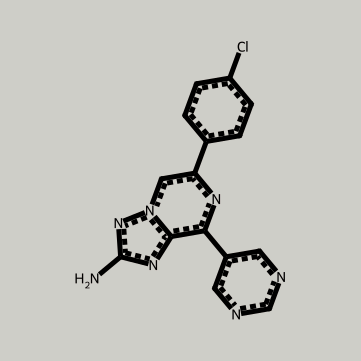 Nc1nc2c(-c3cncnc3)nc(-c3ccc(Cl)cc3)cn2n1